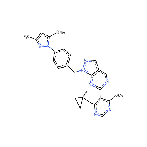 COc1ncnc(C2(C)CC2)c1-c1ncc2cnn(Cc3ccc(-n4nc(C(F)(F)F)cc4OC)cc3)c2n1